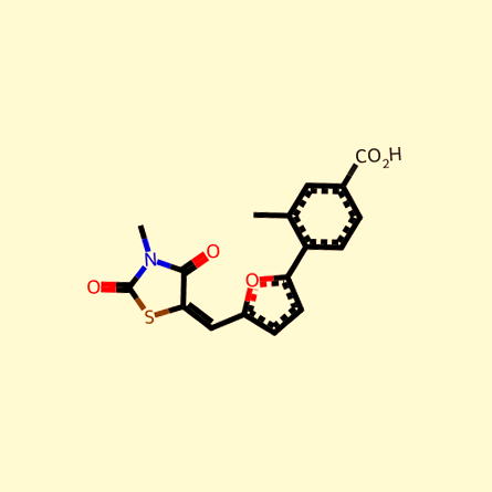 Cc1cc(C(=O)O)ccc1-c1ccc(C=C2SC(=O)N(C)C2=O)o1